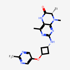 CC[C@H]1C(=O)Nc2c(C)nc(N[C@H]3C[C@H](Oc4cnc(C(F)(F)F)nc4)C3)nc2N1C